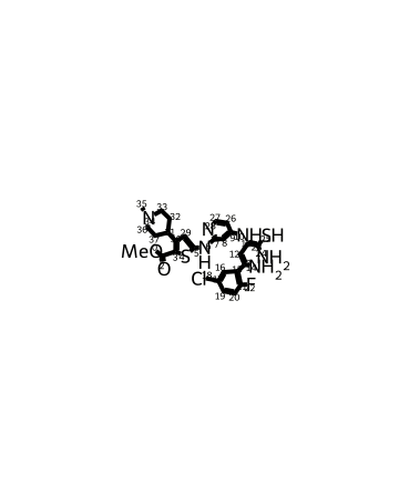 COC(=O)c1sc(Nc2cc(NC(/C=C(\N)c3cc(Cl)ccc3F)=C(/N)S)ccn2)cc1C1CCN(C)CC1